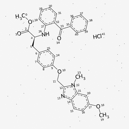 COC(=O)[C@H](Cc1ccc(OCc2nc3ccc(OC)cc3n2C)cc1)Nc1ccccc1C(=O)c1ccccc1.Cl